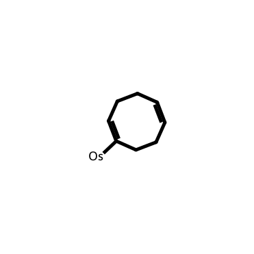 [Os][C]1=CCCC=CCC1